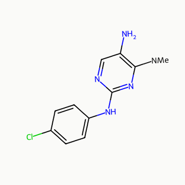 CNc1nc(Nc2ccc(Cl)cc2)ncc1N